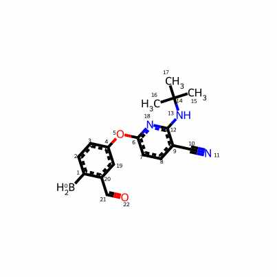 Bc1ccc(Oc2ccc(C#N)c(NC(C)(C)C)n2)cc1C=O